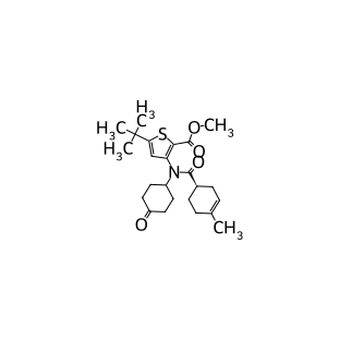 COC(=O)c1sc(C(C)(C)C)cc1N(C(=O)[C@H]1CC=C(C)CC1)C1CCC(=O)CC1